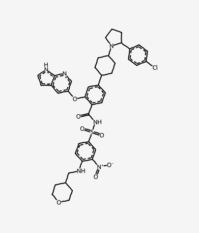 O=C(NS(=O)(=O)c1ccc(NCC2CCOCC2)c([N+](=O)[O-])c1)c1ccc(C2CCC(N3CCCC3c3ccc(Cl)cc3)CC2)cc1Oc1cnc2[nH]ccc2c1